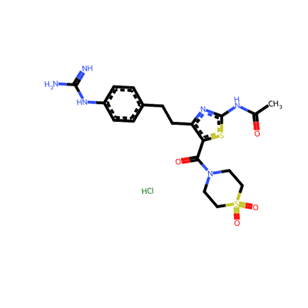 CC(=O)Nc1nc(CCc2ccc(NC(=N)N)cc2)c(C(=O)N2CCS(=O)(=O)CC2)s1.Cl